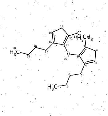 CCCCC1=CCC(C)=[C]1[V][C]1=C(C)CC=C1CCCC